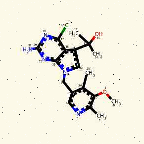 COc1c(C)ncc(Cn2cc(C(C)(C)O)c3c(Cl)nc(N)nc32)c1C